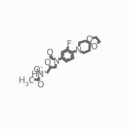 CC(=O)[N@@H+]([O-])CC1CN(c2ccc(N3CCC4(CC3)OCCO4)c(F)c2)C(=O)O1